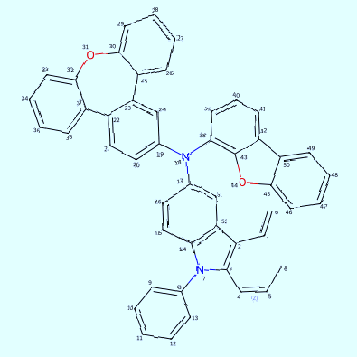 C=Cc1c(/C=C\C)n(-c2ccccc2)c2ccc(N(c3ccc4c(c3)-c3ccccc3Oc3ccccc3-4)c3cccc4c3oc3ccccc34)cc12